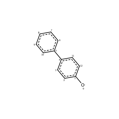 [O]c1ccc(-c2cc[c]cc2)cc1